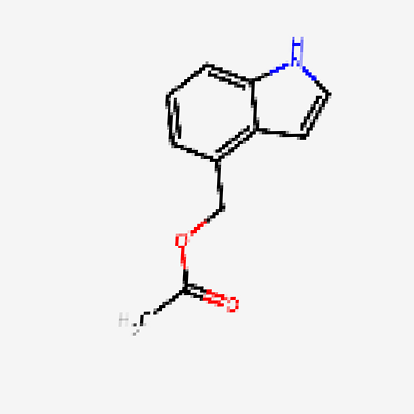 CC(=O)OCc1cccc2[nH]ccc12